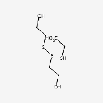 O=C(O)CS.OCCSSCCO